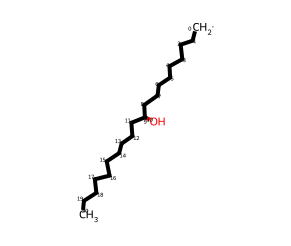 [CH2]CCCCCCCCC(O)CCCCCCCCCC